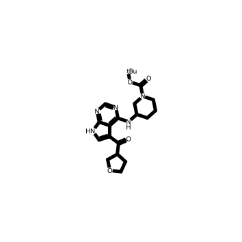 CC(C)(C)OC(=O)N1CCCC(Nc2ncnc3[nH]cc(C(=O)C4CCOC4)c23)C1